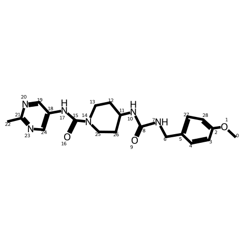 COc1ccc(CNC(=O)NC2CCN(C(=O)Nc3cnc(C)nc3)CC2)cc1